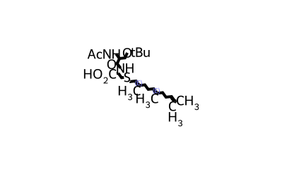 CC(=O)NC(COC(C)(C)C)C(=O)NC(CSC/C=C(\C)CC/C=C(\C)CCC=C(C)C)C(=O)O